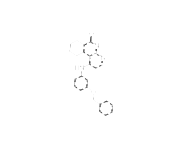 O=c1[nH]c2nccc(Nc3cccc(OCc4ccccc4)c3)c2c2c1CCCC2